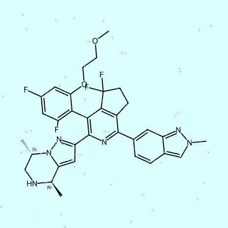 COCCOc1cc(F)cc(F)c1-c1c(-c2cc3n(n2)[C@@H](C)CN[C@@H]3C)nc(-c2ccc3cn(C)nc3c2)c2c1C(F)(F)CC2